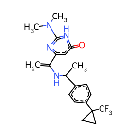 C=C(NC(C)c1ccc(C2(C(F)(F)F)CC2)cc1)c1cc(=O)[nH]c(N(C)C)n1